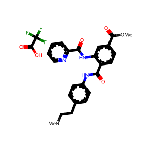 CNCCc1ccc(NC(=O)c2ccc(C(=O)OC)cc2NC(=O)c2ccccn2)cc1.O=C(O)C(F)(F)F